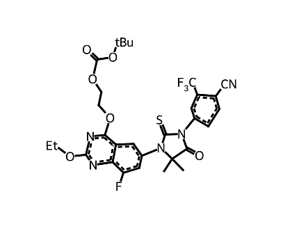 CCOc1nc(OCCOC(=O)OC(C)(C)C)c2cc(N3C(=S)N(c4ccc(C#N)c(C(F)(F)F)c4)C(=O)C3(C)C)cc(F)c2n1